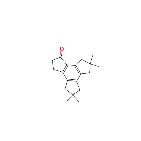 CC1(C)Cc2c(c3c(c4c2CC(C)(C)C4)C(=O)CC3)C1